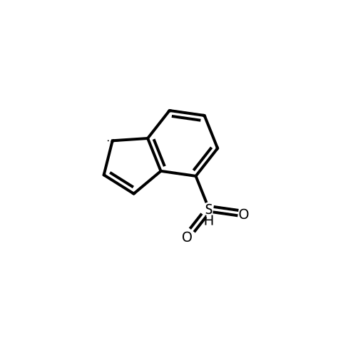 O=[SH](=O)c1cccc2c1C=C[CH]2